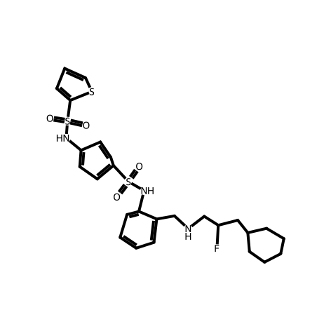 O=S(=O)(Nc1ccccc1CNCC(F)CC1CCCCC1)c1ccc(NS(=O)(=O)c2cccs2)cc1